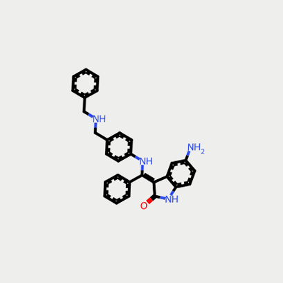 Nc1ccc2c(c1)C(=C(Nc1ccc(CNCc3ccccc3)cc1)c1ccccc1)C(=O)N2